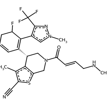 CNC/C=C/C(=O)N1Cc2sc(C#N)c(C)c2[C@H](C2=C(c3cn(C)nc3C(F)(F)F)C(F)CC=C2)C1